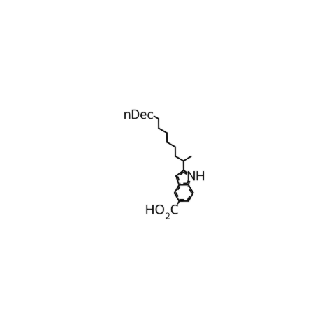 CCCCCCCCCCCCCCCCC(C)c1cc2cc(C(=O)O)ccc2[nH]1